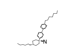 CCCCCCCc1ccc(-c2ccc([C@]3(C#N)CC[C@H](CCCCCC)CC3)cc2)cc1